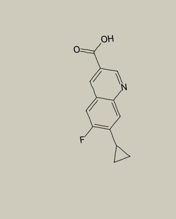 O=C(O)c1cnc2cc(C3CC3)c(F)cc2c1